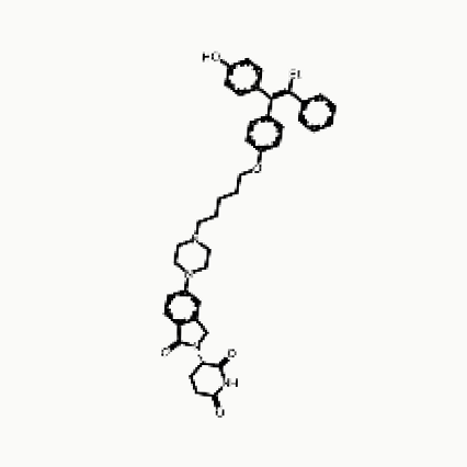 CCC(=C(c1ccc(O)cc1)c1ccc(OCCCCCN2CCN(c3ccc4c(c3)CN([C@H]3CCC(=O)NC3=O)C4=O)CC2)cc1)c1ccccc1